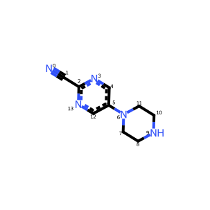 N#Cc1ncc(N2CCNCC2)cn1